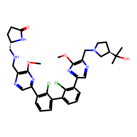 COc1nc(-c2cccc(-c3cccc(-c4cnc(CN5CC[C@@H](C(C)(C)O)C5)c(OC)n4)c3Cl)c2Cl)cnc1CNC[C@@H]1CCC(=O)N1